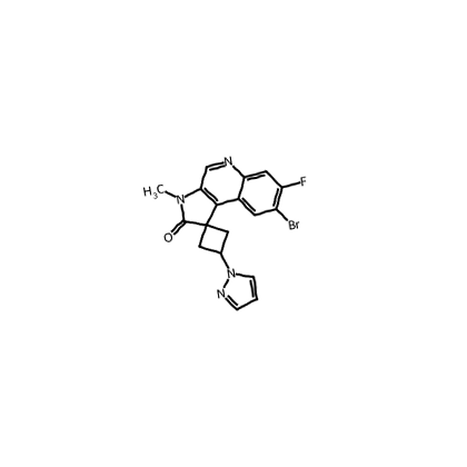 CN1C(=O)C2(CC(n3cccn3)C2)c2c1cnc1cc(F)c(Br)cc21